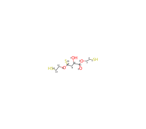 O=C(OCCS)C(O)CC(=S)OCCS